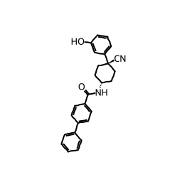 N#C[C@]1(c2cccc(O)c2)CC[C@@H](NC(=O)c2ccc(-c3ccccc3)cc2)CC1